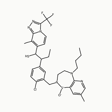 CCCCN1CCN(Cc2cc(C(CC)C(S)c3ccn4c(C(F)(F)F)nnc4c3C)ccc2Cl)[S+]([O-])c2cc(C)cnc21